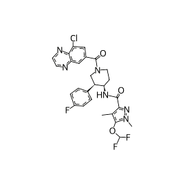 Cc1c(C(=O)N[C@@H]2CCN(C(=O)c3cc(Cl)c4nccnc4c3)C[C@@H]2c2ccc(F)cc2)nn(C)c1OC(F)F